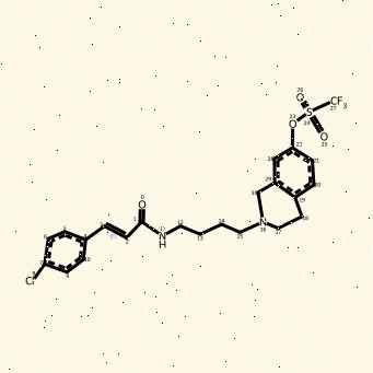 O=C(/C=C/c1ccc(Cl)cc1)NCCCCN1CCc2ccc(OS(=O)(=O)C(F)(F)F)cc2C1